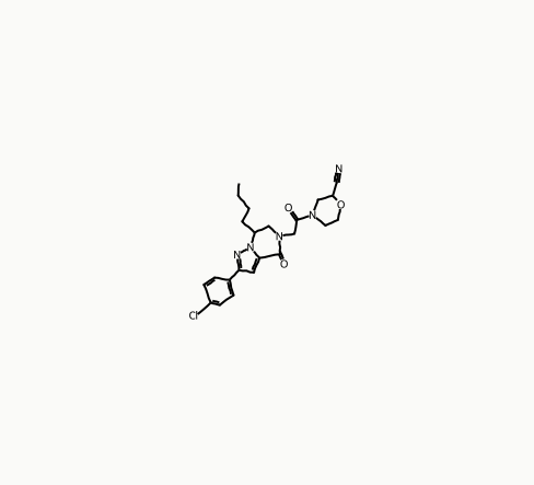 CCCCC1CN(CC(=O)N2CCOC(C#N)C2)C(=O)c2cc(-c3ccc(Cl)cc3)nn21